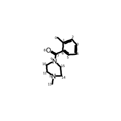 Cc1ccccc1C(=O)N1CCN(C)CC1